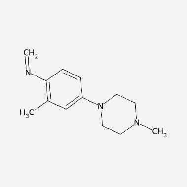 C=Nc1ccc(N2CCN(C)CC2)cc1C